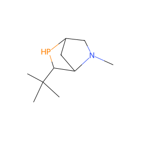 CN1CC2CC1C(C(C)(C)C)P2